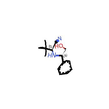 CC(C)(C)[C@@H](C#N)N[C@H](CO)c1ccccc1